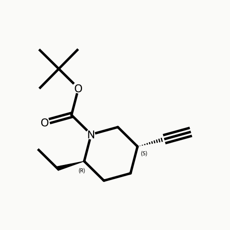 C#C[C@@H]1CC[C@@H](CC)N(C(=O)OC(C)(C)C)C1